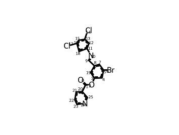 O=C(Oc1cc(Br)cc(C=Nc2cc(Cl)cc(Cl)c2)c1)c1cccnc1